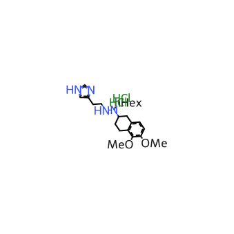 CCCCCCN(NCCc1c[nH]cn1)C1CCc2c(ccc(OC)c2OC)C1.Cl.Cl